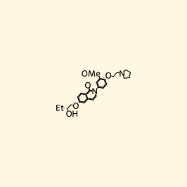 CC[C@@H](O)COc1ccc2c(=O)n(-c3ccc(OCCN4CCCC4)c(OC)c3)ccc2c1